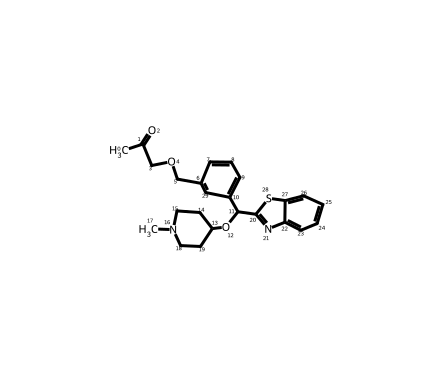 CC(=O)COCc1cccc(C(OC2CCN(C)CC2)c2nc3ccccc3s2)c1